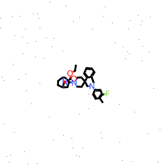 CCOC(=O)N1CC2CCC1CC(N1CCC3(CC1)CN(c1ccc(C)c(F)c1)Cc1ccccc13)C2